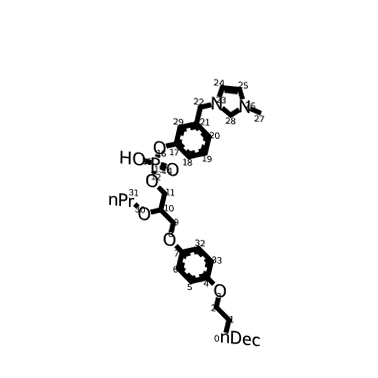 CCCCCCCCCCCCOc1ccc(OCC(COP(=O)(O)Oc2cccc(CN3C=CN(C)C3)c2)OCCC)cc1